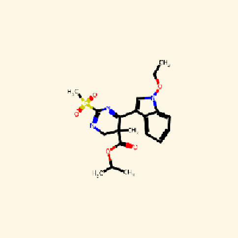 CCOn1cc(C2=NC(S(C)(=O)=O)=NCC2(C)C(=O)OC(C)C)c2ccccc21